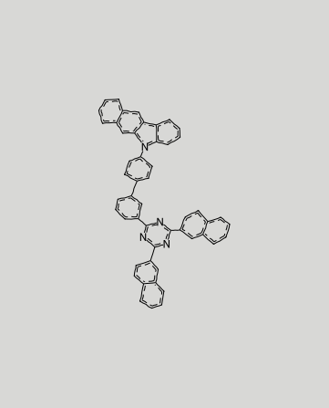 c1cc(-c2ccc(-n3c4ccccc4c4cc5ccccc5cc43)cc2)cc(-c2nc(-c3ccc4ccccc4c3)nc(-c3ccc4ccccc4c3)n2)c1